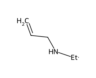 C=CCN[CH]C